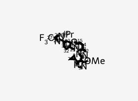 COc1ncnc(C2CC2)c1-c1ncc2ccc(=O)n(CC34CCC(c5nc(C(F)(F)F)cn5C(C)C)(CC3)CC4)c2n1